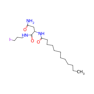 CCCCCCCCCCCC(=O)NC(CC(N)=O)C(=O)NCCCI